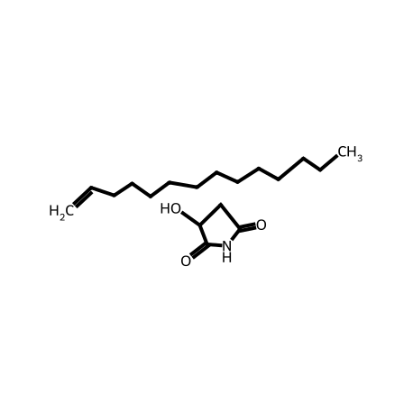 C=CCCCCCCCCCCCC.O=C1CC(O)C(=O)N1